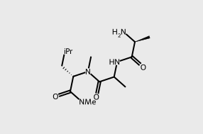 CNC(=O)[C@H](CC(C)C)N(C)C(=O)C(C)NC(=O)[C@H](C)N